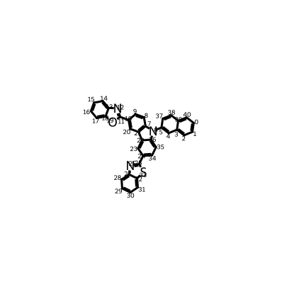 c1ccc2cc(-n3c4ccc(-c5nc6ccccc6o5)cc4c4cc(-c5nc6ccccc6s5)ccc43)ccc2c1